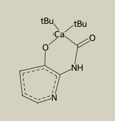 C[C](C)(C)[Ca]1([C](C)(C)C)[O]c2cccnc2N[C]1=O